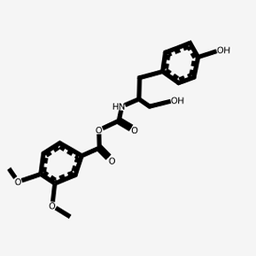 COc1ccc(C(=O)OC(=O)NC(CO)Cc2ccc(O)cc2)cc1OC